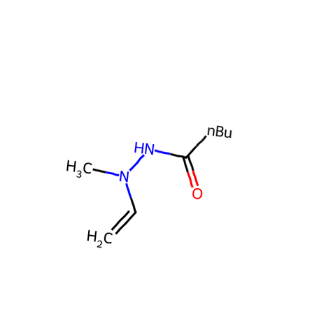 C=CN(C)NC(=O)CCCC